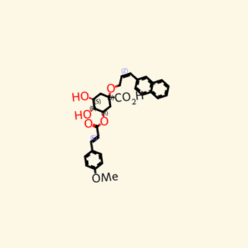 COc1ccc(/C=C/C(=O)O[C@@H]2C[C@](OC/C=C\c3ccc4ccccc4c3)(C(=O)O)C[C@H](O)[C@H]2O)cc1